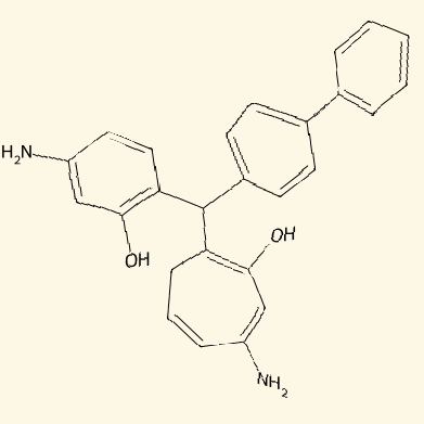 NC1=CC(O)=C(C(c2ccc(-c3ccccc3)cc2)c2ccc(N)cc2O)CC=C1